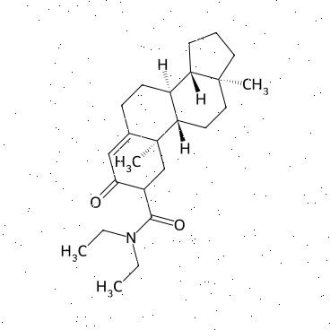 CCN(CC)C(=O)C1C[C@@]2(C)C(=CC1=O)CC[C@H]1[C@@H]3CCC[C@@]3(C)CC[C@@H]12